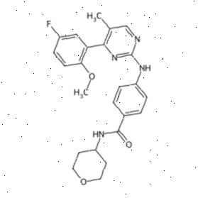 COc1ccc(F)cc1-c1nc(Nc2ccc(C(=O)NC3CCOCC3)cc2)ncc1C